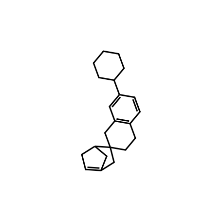 C1=C2CC(C1)C1(CCc3ccc(C4CCCCC4)cc3C1)C2